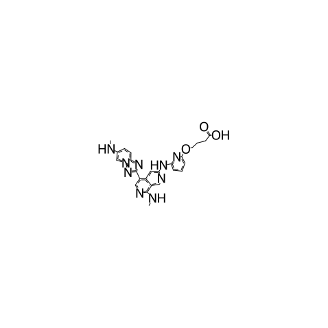 CNc1ccc2nc(-c3cnc(NC)c4cnc(Nc5cccc(OCCCC(=O)O)n5)cc34)nn2c1